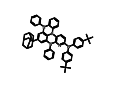 CC(C)(C)c1ccc(N(c2ccc(C(C)(C)C)cc2)c2ccc3c(n2)N(c2ccccc2)c2cc(C45CC6CC(CC(C6)C4)C5)cc4c2B3c2ccccc2N4c2ccccc2)cc1